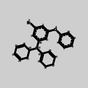 Brc1cc(Oc2ccccc2)cc(N(C2=CCCC=C2)C2C=CC=CC2)c1